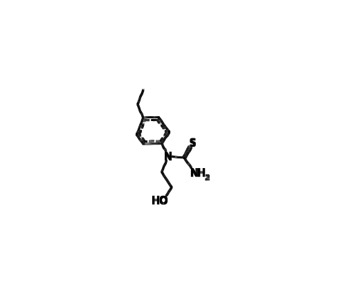 CCc1ccc(N(CCO)C(N)=S)cc1